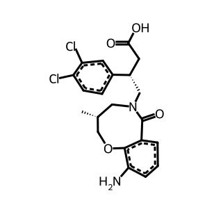 C[C@H]1COc2c(N)cccc2C(=O)N(C[C@@H](CC(=O)O)c2ccc(Cl)c(Cl)c2)C1